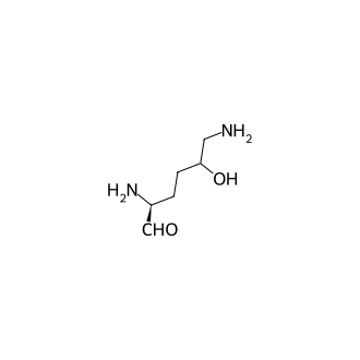 NCC(O)CC[C@H](N)C=O